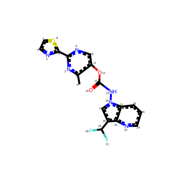 Cc1nc(-c2nccs2)ncc1OC(=O)Nn1cc(C(F)F)c2ncccc21